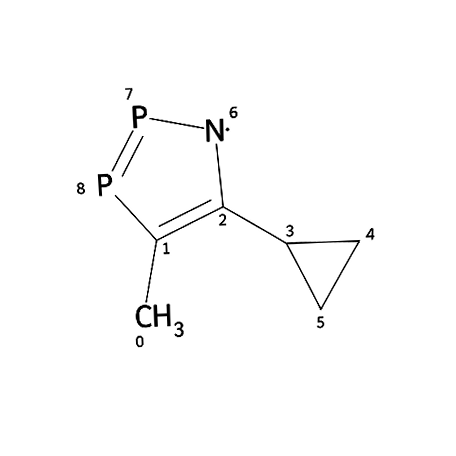 CC1=C(C2CC2)[N]P=P1